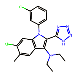 CCN(CC)c1c(-c2nnn[nH]2)n(-c2cccc(Cl)c2)c2cc(Cl)c(C)cc12